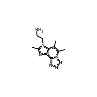 Cc1c(C)n2nnnc2c2nc(C)n(CCN)c12